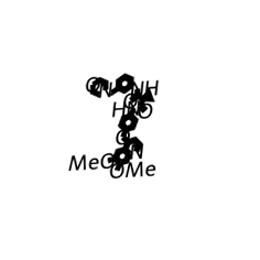 COc1cc2nccc(Oc3ccc(NC(=O)C4(C(=O)Nc5cccc(CN6CCOCC6)c5)CC4)cc3)c2cc1OC